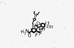 CCN(CC)C1CC(CN2C(=O)C(O)(c3ccc(Cl)cc3Cl)c3c2cc(C(N)=O)cc3C(F)(F)F)C1.Cl